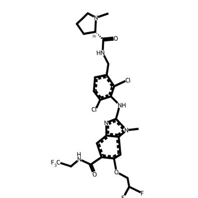 CN1CCC[C@H]1C(=O)NCc1ccc(Cl)c(Nc2nc3cc(C(=O)NCC(F)(F)F)c(OCC(F)F)cc3n2C)c1Cl